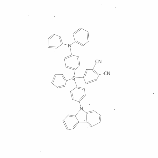 N#Cc1ccc(S(c2ccccc2)(c2ccc(N(c3ccccc3)c3ccccc3)cc2)c2ccc(-n3c4ccccc4c4ccccc43)cc2)cc1C#N